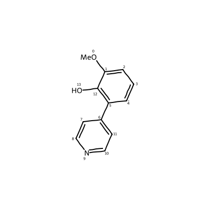 COc1cc[c]c(-c2ccncc2)c1O